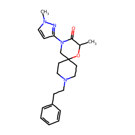 CC1OC2(CCN(CCc3ccccc3)CC2)CN(c2ccn(C)n2)C1=O